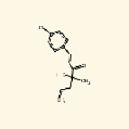 C=CCC(C)(C)C(=O)C=Cc1ccc(Cl)cc1